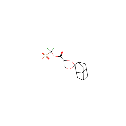 O=C(OC(F)(F)S(=O)(=O)O)C1COC2(O1)C1CC3CC(C1)CC2C3